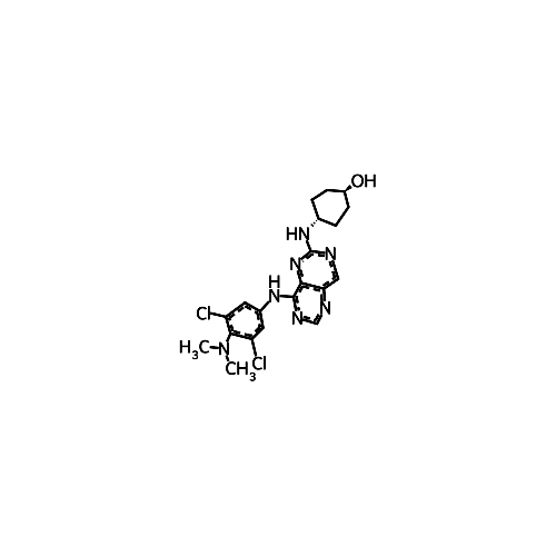 CN(C)c1c(Cl)cc(Nc2ncnc3cnc(N[C@H]4CC[C@H](O)CC4)nc23)cc1Cl